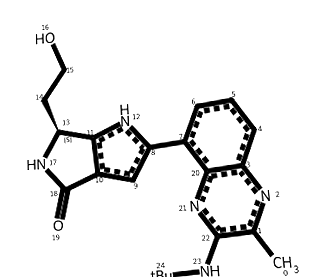 Cc1nc2cccc(-c3cc4c([nH]3)[C@H](CCO)NC4=O)c2nc1NC(C)(C)C